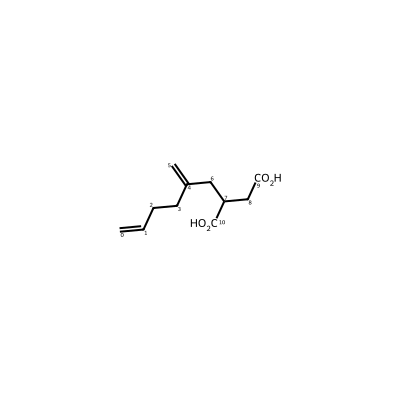 C=CCCC(=C)CC(CC(=O)O)C(=O)O